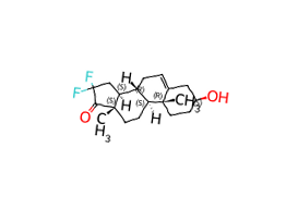 C[C@]12CC[C@H](O)CC1=CC[C@@H]1[C@@H]2CC[C@]2(C)C(=O)C(F)(F)C[C@@H]12